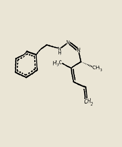 C=C/C=C(/C)[C@@H](C)/N=N\NCc1ccccc1